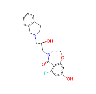 O=C1c2c(F)cc(O)cc2OCCN1C[C@H](O)CN1CCc2ccccc2C1